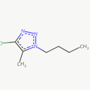 CCCCn1nnc(Cl)c1C